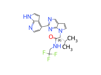 CC(C)[C@H](C(=O)NCC(F)(F)F)n1ccc2cnc(-c3ccnc4[nH]ccc34)nc21